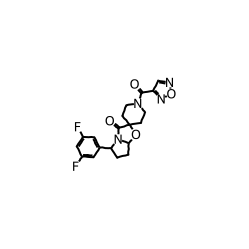 O=C(c1cnon1)N1CCC2(CC1)OC1CCC(c3cc(F)cc(F)c3)N1C2=O